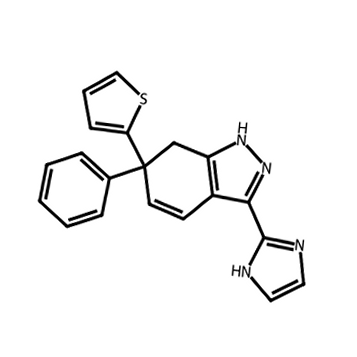 C1=CC(c2ccccc2)(c2cccs2)Cc2[nH]nc(-c3ncc[nH]3)c21